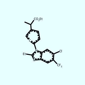 CCOC(=O)C(C)c1ccc(-n2c(CC)nc3cc(C(F)(F)F)c(Cl)cc32)cc1